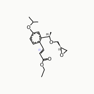 CCOC(=O)/C=C/c1ccc(OC(C)C)cc1[C@@H](C)OC[C@H]1CO1